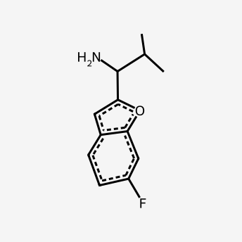 CC(C)C(N)c1cc2ccc(F)cc2o1